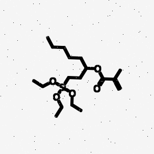 C=C(C)C(=O)OC(CCCCC)CC[Si](OCC)(OCC)OCC